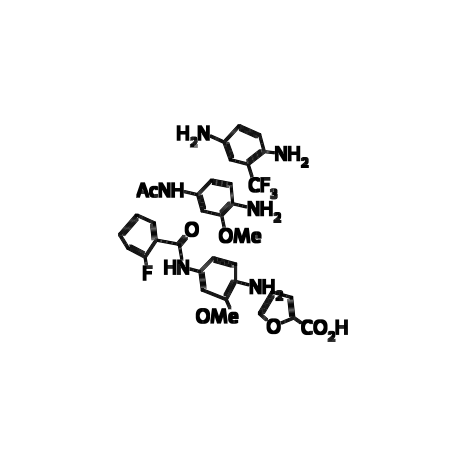 COc1cc(NC(=O)c2ccccc2F)ccc1N.COc1cc(NC(C)=O)ccc1N.Nc1ccc(N)c(C(F)(F)F)c1.O=C(O)c1ccco1